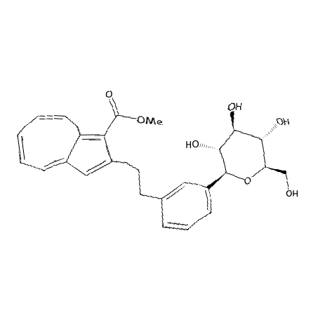 COC(=O)c1c(CCc2cccc([C@@H]3O[C@H](CO)[C@@H](O)[C@H](O)[C@H]3O)c2)cc2cccccc1-2